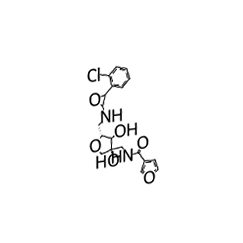 O=C(NC[C@]1(O)CO[C@H](CNC2OC2c2ccccc2Cl)[C@H]1O)c1ccoc1